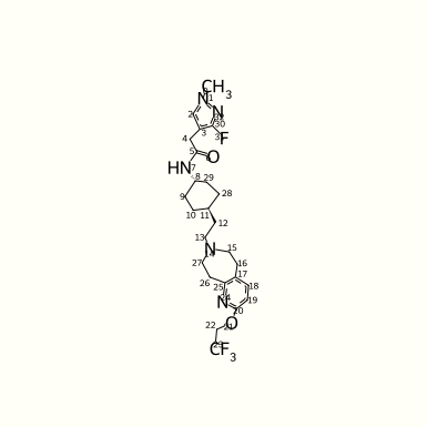 Cn1cc(CC(=O)N[C@H]2CC[C@H](CCN3CCc4ccc(OCC(F)(F)F)nc4CC3)CC2)c(F)n1